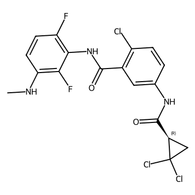 CNc1ccc(F)c(NC(=O)c2cc(NC(=O)[C@H]3CC3(Cl)Cl)ccc2Cl)c1F